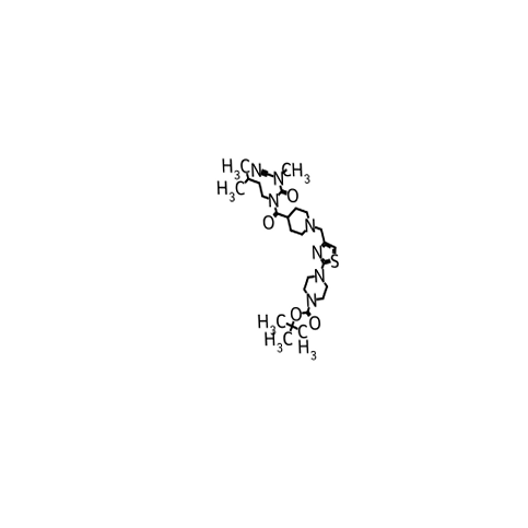 CC(C)CCN(C(=O)C1CCN(Cc2csc(N3CCN(C(=O)OC(C)(C)C)CC3)n2)CC1)C(=O)N(C)C#N